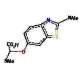 CNc1nc2ccc(OC(SC)C(=O)O)cc2s1